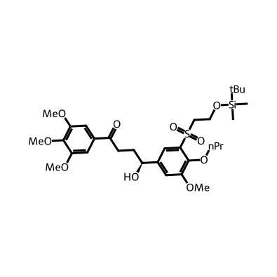 CCCOc1c(OC)cc([C@@H](O)CCC(=O)c2cc(OC)c(OC)c(OC)c2)cc1S(=O)(=O)CCO[Si](C)(C)C(C)(C)C